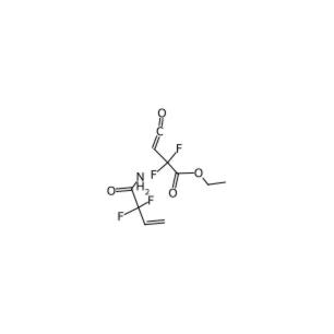 C=CC(F)(F)C(N)=O.CCOC(=O)C(F)(F)C=C=O